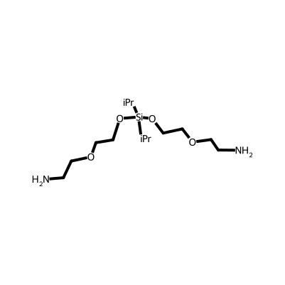 CC(C)[Si](OCCOCCN)(OCCOCCN)C(C)C